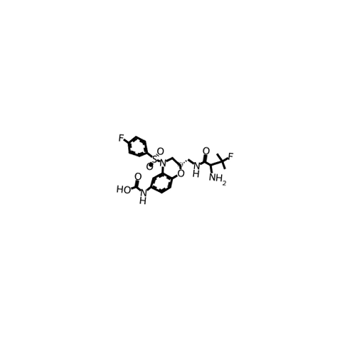 CC(C)(F)C(N)C(=O)NC[C@H]1CN(S(=O)(=O)c2ccc(F)cc2)c2cc(NC(=O)O)ccc2O1